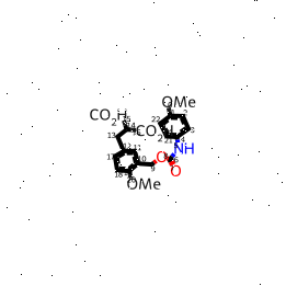 COc1ccc(NC(=O)OCc2cc(CC(C(=O)O)C(=O)O)ccc2OC)cc1